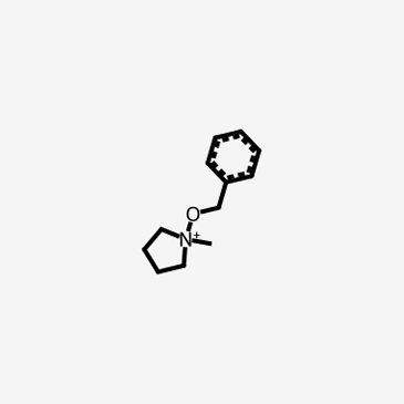 C[N+]1(OCc2ccccc2)CCCC1